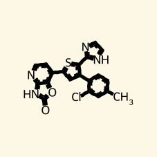 Cc1ccc(-c2cc(-c3ccnc4[nH]c(=O)oc34)sc2-c2ncc[nH]2)c(Cl)c1